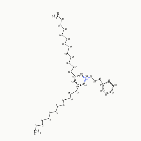 CCCCCCCCCCCCCc1cc(CCCCCCCCCCCCC)c[n+](CCCc2ccccc2)c1